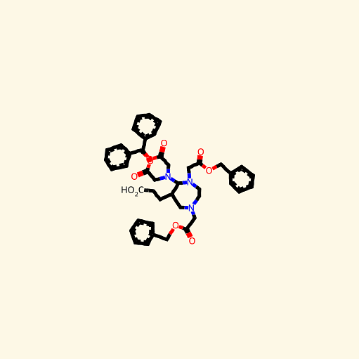 O=C(O)CCC1CN(CC(=O)OCc2ccccc2)CCN(CC(=O)OCc2ccccc2)C1N(CC(=O)OCc1ccccc1)CC(=O)OCc1ccccc1